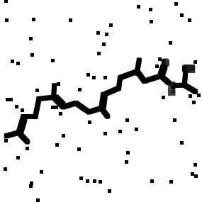 CC(C)=CCCC(C)=CCCC(C)=CCCC(C)CC(=O)NC(C)O